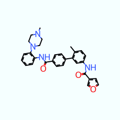 Cc1ccc(NC(=O)c2ccoc2)cc1-c1ccc(C(=O)Nc2ccccc2N2CCN(C)CC2)cc1